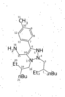 CCCCC(CC)CN1NC(c2ccc(C)cc2)=C(CN)N1CC(CC)CCCC